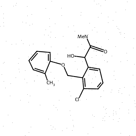 CNC(=O)C(O)c1cccc(Cl)c1COc1ccccc1C